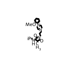 COc1ccccc1N1CCN(CCCN2C(=O)C(C)C(NC(C)C)C2=O)CC1